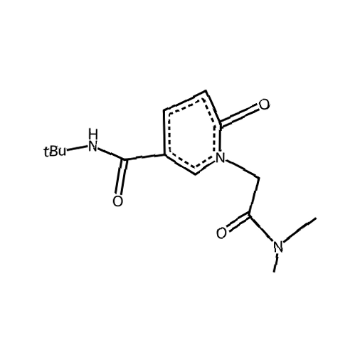 CN(C)C(=O)Cn1cc(C(=O)NC(C)(C)C)ccc1=O